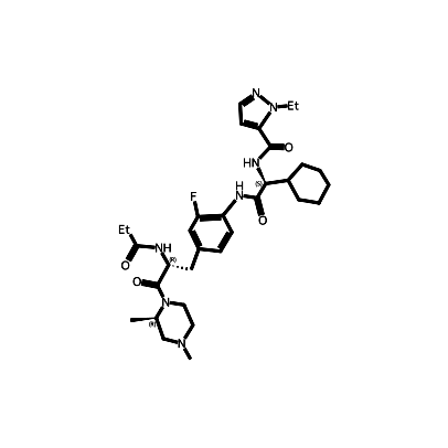 CCC(=O)N[C@H](Cc1ccc(NC(=O)[C@@H](NC(=O)c2ccnn2CC)C2CCCCC2)c(F)c1)C(=O)N1CCN(C)C[C@H]1C